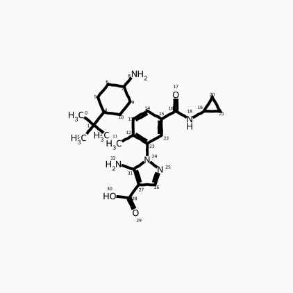 CC(C)(C)C1CCC(N)CC1.Cc1ccc(C(=O)NC2CC2)cc1-n1ncc(C(=O)O)c1N